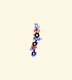 NC(=O)Oc1ccc2[nH]c(-c3ccc(S(=O)(=O)NCc4ccncc4)cc3)nc2c1